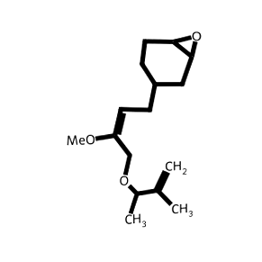 C=C(C)C(C)OC/C(=C\CC1CCC2OC2C1)OC